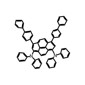 c1ccc(-c2ccc(-c3cc(N(c4ccccc4)c4ccccc4)c4ccc5c(N(c6ccccc6)c6ccccc6)cc(-c6ccc(-c7ccccc7)cc6)c6ccc3c4c65)cc2)cc1